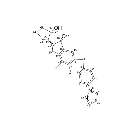 Cc1c(Cc2ccc(-n3cccn3)cc2)cc2c(c1C)CN([C@H]1CCC[C@@H]1O)C2=O